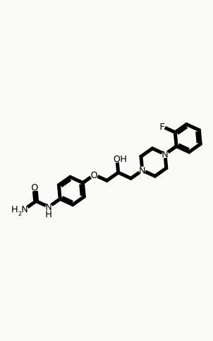 NC(=O)Nc1ccc(OCC(O)CN2CCN(c3ccccc3F)CC2)cc1